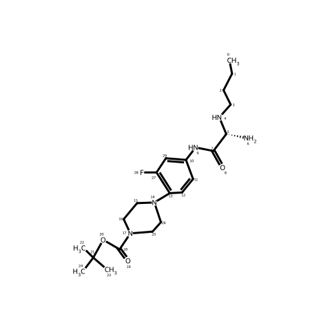 CCCCN[C@H](N)C(=O)Nc1ccc(N2CCN(C(=O)OC(C)(C)C)CC2)c(F)c1